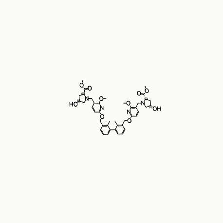 COC(=O)[C@@H]1C[C@H](O)CN1Cc1ccc(OCc2cccc(-c3cccc(COc4ccc(CN5C[C@@H](O)C[C@H]5C(=O)OC)c(OC)n4)c3C)c2C)nc1OC